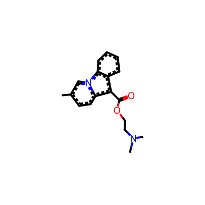 Cc1ccc2c(C(=O)OCCN(C)C)c3ccccc3n2c1